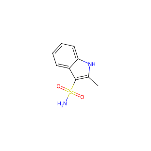 Cc1[nH]c2ccccc2c1S(N)(=O)=O